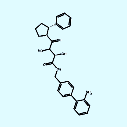 Nc1ccccc1-c1ccc(CNC(=O)[C@H](O)[C@@H](O)C(=O)N2CCC[C@@H]2c2ccccc2)cc1